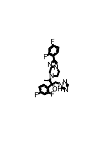 C[C@@H](N1CCn2cc(-c3ccc(F)cc3F)nc2C1)[C@](O)(Cn1cncn1)c1ccc(F)cc1F